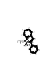 C[Si]1(C)C(c2ccccc2)=Cc2ccccc21